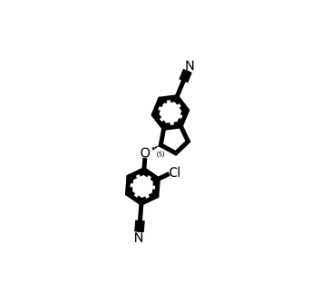 N#Cc1ccc(O[C@H]2CCc3cc(C#N)ccc32)c(Cl)c1